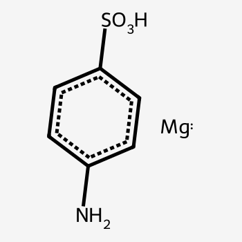 Nc1ccc(S(=O)(=O)O)cc1.[Mg]